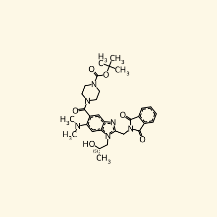 C[C@H](O)Cn1c(CN2C(=O)c3ccccc3C2=O)nc2cc(C(=O)N3CCN(C(=O)OC(C)(C)C)CC3)c(N(C)C)cc21